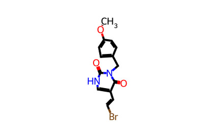 COc1ccc(Cn2c(=O)[nH]cc(C=CBr)c2=O)cc1